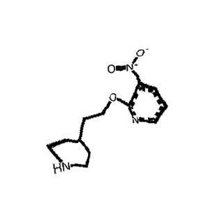 O=[N+]([O-])c1cccnc1OCCC1CCNCC1